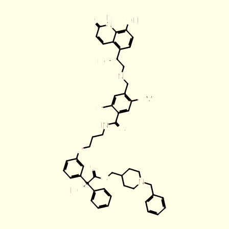 COc1cc(C(=O)NCCCOc2cccc([C@](O)(C(=O)OCC3CCN(Cc4ccccc4)CC3)c3ccccc3)c2)c(Cl)cc1CNC[C@H](O)c1ccc(O)c2[nH]c(=O)ccc12